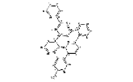 N#Cc1ccc(C2C=CC(c3ccccc3-c3nc(-c4ccccc4)nc(-c4ccccc4)n3)=CC2)cc1